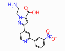 NCCn1nc(-c2ccnc(-c3cccc([N+](=O)[O-])c3)c2)cc1C(=O)O